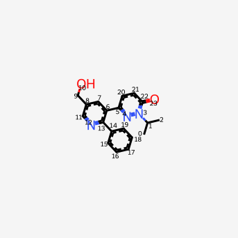 CC(C)n1nc(-c2cc(CO)cnc2-c2ccccc2)ccc1=O